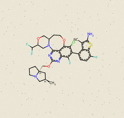 C[C@H]1CN2CCC[C@@]2(COc2nc3c4c(c(Cl)c(-c5ccc(F)c6sc(N)c(C#N)c56)c(F)c4n2)OCCC2COC(C(F)F)CN32)C1